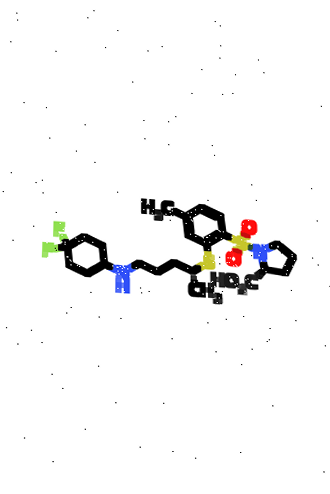 Cc1ccc(S(=O)(=O)N2CCC[C@H]2C(=O)O)c(S[C@H](C)CCCNC2CCC(F)(F)CC2)c1